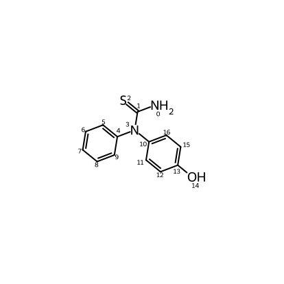 NC(=S)N(c1ccccc1)c1ccc(O)cc1